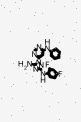 Nc1nc(Nc2ccc(F)cc2F)nn1-c1cc(Nc2ccccc2)ncn1